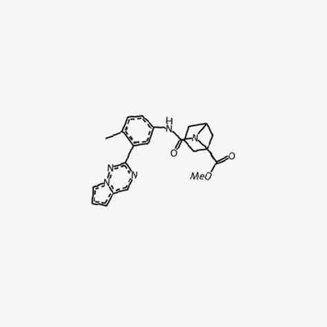 COC(=O)C12CCCC(C1)N2C(=O)Nc1ccc(C)c(-c2ncc3cccn3n2)c1